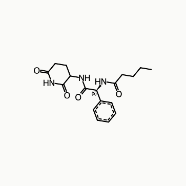 CCCCC(=O)N[C@H](C(=O)NC1CCC(=O)NC1=O)c1ccccc1